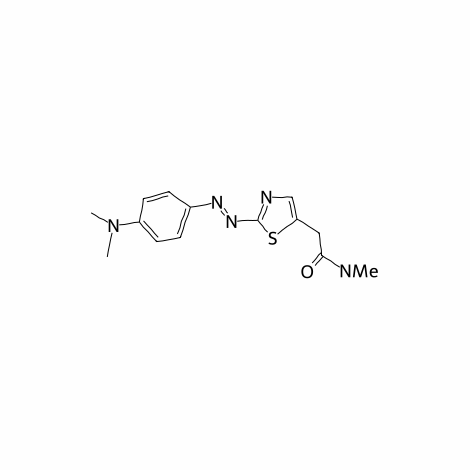 CNC(=O)Cc1cnc(N=Nc2ccc(N(C)C)cc2)s1